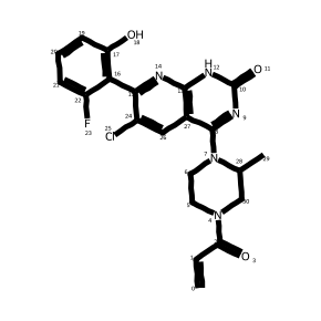 C=CC(=O)N1CCN(c2nc(=O)[nH]c3nc(-c4c(O)cccc4F)c(Cl)cc23)C(C)C1